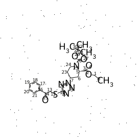 CCOC(=O)[C@H]1C[C@H](n2nnc(SCC(=O)c3ccccc3)n2)CCN1C(=O)OC(C)(C)C